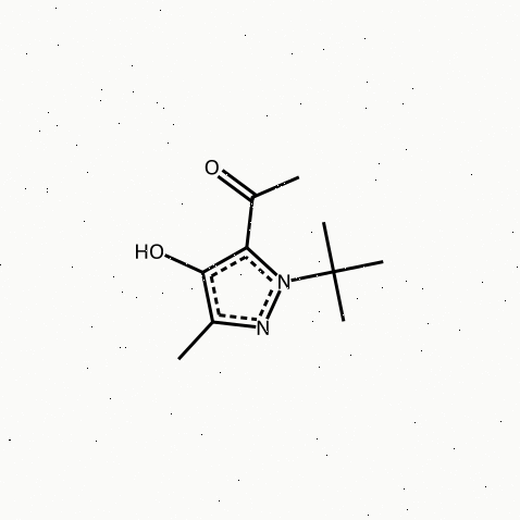 CC(=O)c1c(O)c(C)nn1C(C)(C)C